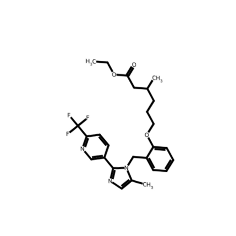 CCOC(=O)CC(C)CCCOc1ccccc1Cn1c(C)cnc1-c1ccc(C(F)(F)F)nc1